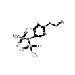 CC(C)CCc1ccc(N(S(C)(=O)=O)S(C)(=O)=O)cc1